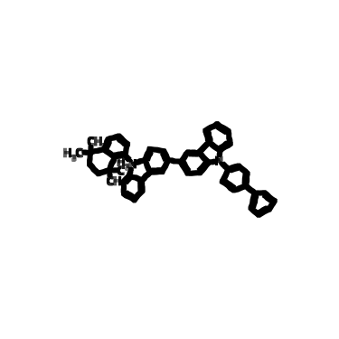 CC1(C)CCC(C)(C)c2c(-n3c4ccccc4c4cc(-c5ccc6c(c5)c5ccccc5n6-c5ccc(-c6ccccc6)cc5)ccc43)cccc21